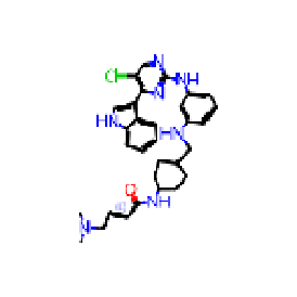 CN(C)C/C=C/C(=O)NC1CCC(CNc2cccc(Nc3ncc(Cl)c(-c4c[nH]c5ccccc45)n3)c2)CC1